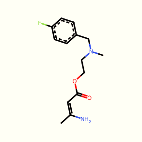 C/C(N)=C/C(=O)OCCN(C)Cc1ccc(F)cc1